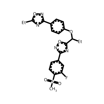 CCc1nc(-c2ccc(OC(CC)c3nc(-c4ccc(S(C)(=O)=O)c(F)c4)no3)cc2)no1